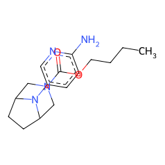 CCCCOC(=O)N1CC2CCC(C1)N2c1ccc(N)nc1